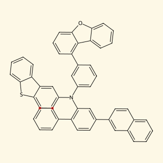 c1ccc(-c2ccc(-c3ccc4ccccc4c3)cc2N(c2cccc(-c3cccc4oc5ccccc5c34)c2)c2ccc3sc4ccccc4c3c2)cc1